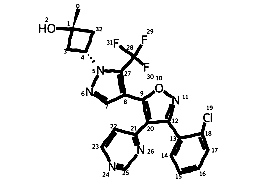 C[C@]1(O)C[C@@H](n2ncc(-c3onc(-c4ccccc4Cl)c3-c3ccncn3)c2C(F)(F)F)C1